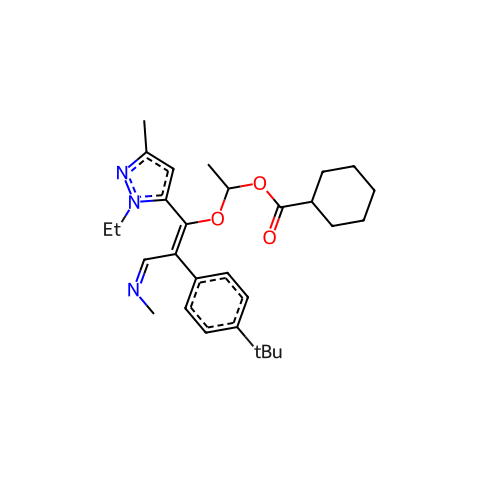 CCn1nc(C)cc1/C(OC(C)OC(=O)C1CCCCC1)=C(\C=N/C)c1ccc(C(C)(C)C)cc1